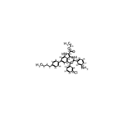 CCCCc1ccc(-c2cc(Cc3cccc(Cl)c3)c3c(NC(=O)c4cccc(N)c4)c(C(=O)OCC)[nH]c3c2)cc1